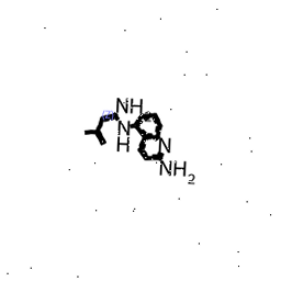 C=C(C)/C=C(/N)Nc1cccc2nc(N)ccc12